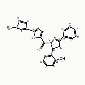 Cn1cc(-c2ccc(C(=O)N3N=C(c4cccnc4)CC3c3ccccc3O)s2)cn1